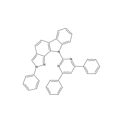 c1ccc(-c2cc(-c3ccccc3)nc(-n3c4ccccc4c4ccc5cn(-c6ccccc6)nc5c43)n2)cc1